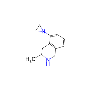 CC1Cc2c(cccc2N2CC2)CN1